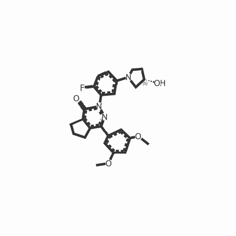 COc1cc(OC)cc(-c2nn(-c3cc(N4CC[C@H](O)C4)ccc3F)c(=O)c3c2CCC3)c1